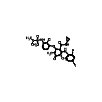 Cc1c(Oc2cccc(NS(=O)(=O)N(C)C)c2Cl)c(C(=O)NC2CC2)c(Nc2ccc(I)cc2F)n(C)c1=O